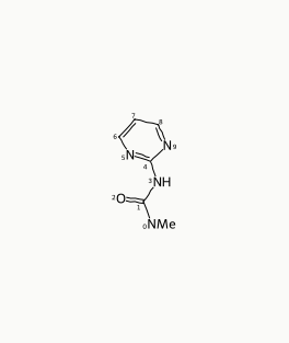 CNC(=O)Nc1ncccn1